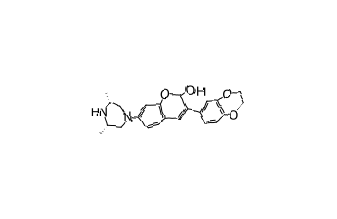 C[C@@H]1CN(c2ccc3c(c2)OC(O)C(c2ccc4c(c2)OCCO4)=C3)C[C@H](C)N1